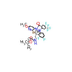 COc1ccc(N2CN(c3ccc(F)c(F)c3C(C)CCNC(=O)OC(C)(C)C)c3cc(C(F)(F)F)c(F)cc3C2=O)c(Br)n1